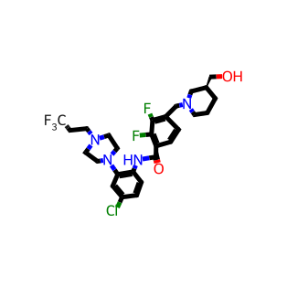 O=C(Nc1ccc(Cl)cc1N1CCN(CCC(F)(F)F)CC1)c1ccc(CN2CCC[C@H](CO)C2)c(F)c1F